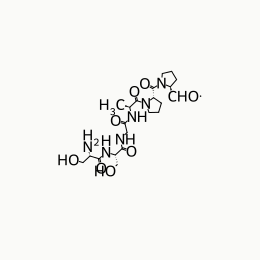 C[C@H](NC(=O)CNC(=O)[C@H](CO)NC(=O)[C@@H](N)CO)C(=O)N1CCC[C@H]1C(=O)N1CCC[C@H]1[C]=O